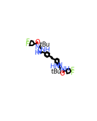 CC(C)(C)C(NC(=O)C1CCC(F)(F)CC1)c1nc2ccc(C#Cc3ccc(-c4cnc([C@@H](NC(=O)C5CCC(F)(F)CC5)C(C)(C)C)[nH]4)cc3)cc2[nH]1